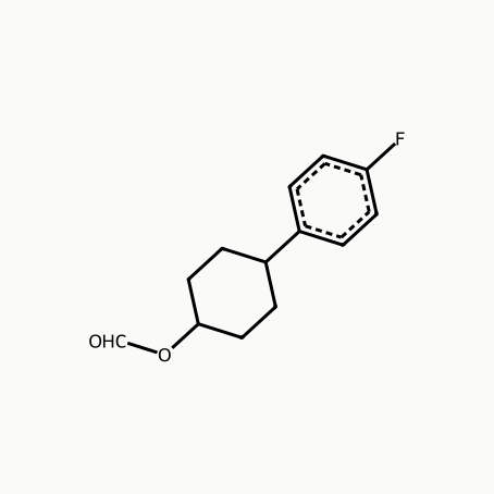 O=COC1CCC(c2ccc(F)cc2)CC1